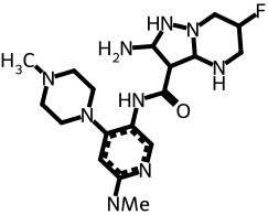 CNc1cc(N2CCN(C)CC2)c(NC(=O)C2C(N)NN3CC(F)CNC23)cn1